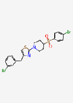 O=S(=O)(c1ccc(Br)cc1)C1CCN(c2nc(Cc3cccc(Br)c3)cs2)CC1